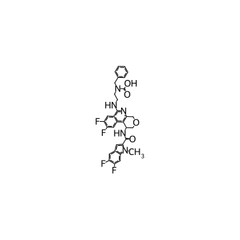 Cn1c(C(=O)NC2COCc3nc(NCCN(Cc4ccccc4)C(=O)O)c4cc(F)c(F)cc4c32)cc2cc(F)c(F)cc21